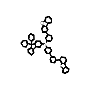 c1ccc(C2(c3ccccc3)c3ccccc3-c3cc(N(c4ccc(-c5cccc(-c6cccc7c6sc6ccccc67)c5)cc4)c4cccc(-c5ccc6oc7ccccc7c6c5)c4)ccc32)cc1